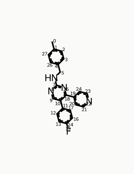 Cc1ccc(CNc2ncc(-c3ccc(F)cc3)c(-c3ccncc3)n2)cc1